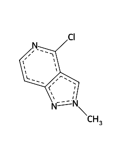 Cn1cc2c(Cl)nccc2n1